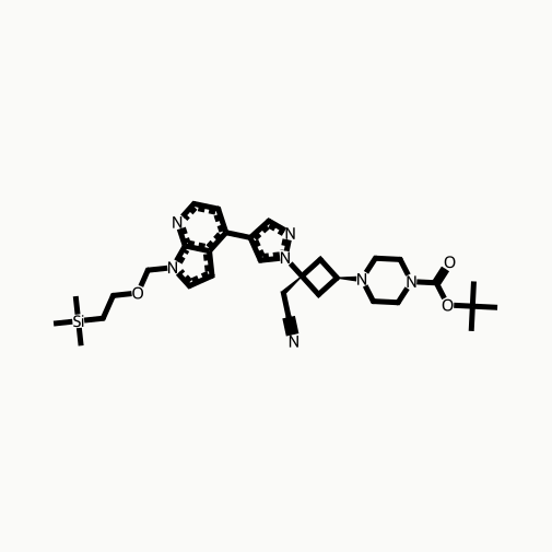 CC(C)(C)OC(=O)N1CCN([C@H]2C[C@](CC#N)(n3cc(-c4ccnc5c4ccn5COCC[Si](C)(C)C)cn3)C2)CC1